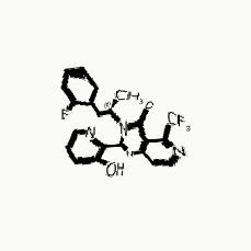 C[C@H](Cc1ccccc1F)n1c(-c2ncccc2O)nc2ccnc(C(F)(F)F)c2c1=O